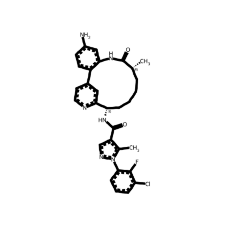 Cc1c(C(=O)N[C@H]2CCCC[C@@H](C)C(=O)Nc3cc(N)ccc3-c3ccnc2c3)cnn1-c1cccc(Cl)c1F